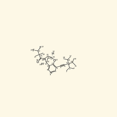 CC(C)[Si](C#Cc1cncc2c1O[C@H]1C[C@@H]2N(C(=O)C(C)(C)C(F)F)C1)(C(C)C)C(C)C